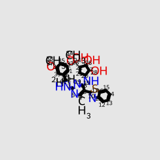 [2H]C([2H])(Nc1nc(C)c(-c2nc3ccccc3s2)c(N[C@@H]2C[C@H](CO)[C@@H](O)[C@H]2O)n1)c1cc(OC)cc(OC)c1